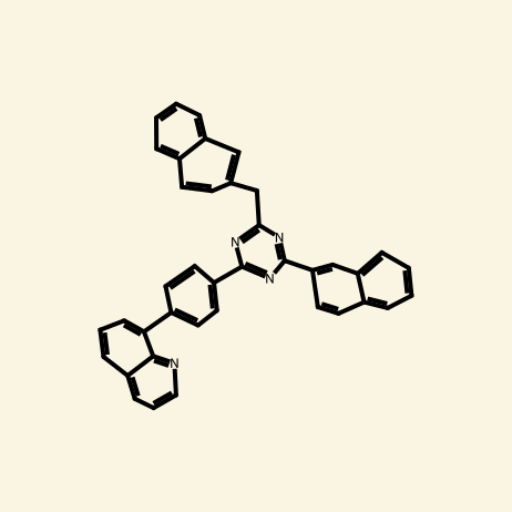 c1ccc2cc(Cc3nc(-c4ccc(-c5cccc6cccnc56)cc4)nc(-c4ccc5ccccc5c4)n3)ccc2c1